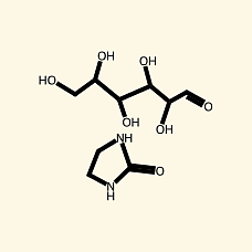 O=C1NCCN1.O=CC(O)C(O)C(O)C(O)CO